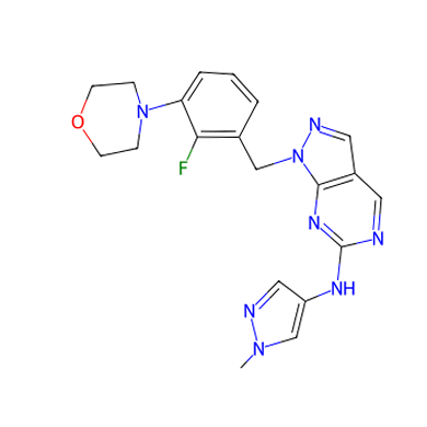 Cn1cc(Nc2ncc3cnn(Cc4cccc(N5CCOCC5)c4F)c3n2)cn1